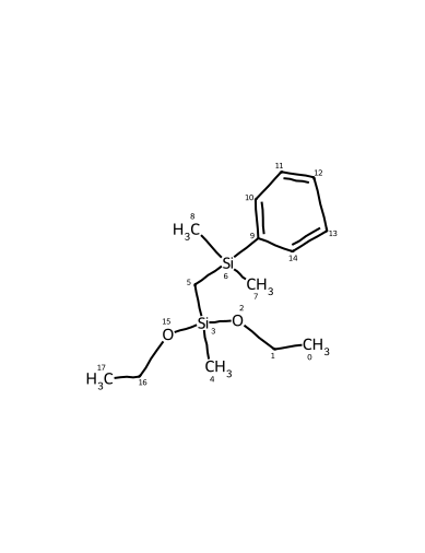 CCO[Si](C)(C[Si](C)(C)c1ccccc1)OCC